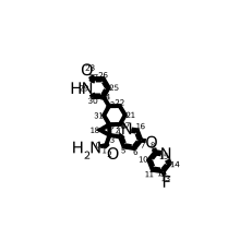 NC(=O)C1(c2ccc(Oc3ccc(F)cn3)cn2)CC12CCCC(c1ccc(=O)[nH]c1)C2